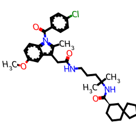 COc1ccc2c(c1)c(CC(=O)NCCCC(C)(C)NC(=O)[C@@H]1CCCC3(CCCC3)C1)c(C)n2C(=O)c1ccc(Cl)cc1